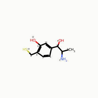 CC(N)C(O)c1ccc(CS)c(O)c1